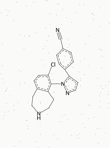 N#Cc1ccc(-c2ccnn2-c2c(Cl)ccc3c2CCNCC3)cc1